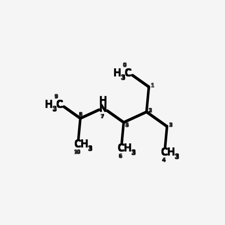 CCC(CC)C(C)NC(C)C